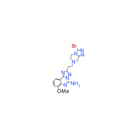 COc1cccc2c1nc(N)n1nc(CCN3CCn4c(Br)nnc4C3)nc21